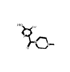 CN1CCN(C(=O)c2cc(O)c(O)cn2)CC1